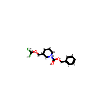 O=C(OCc1ccccc1)N1CCCC(COC(F)F)C1